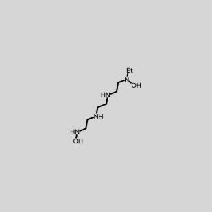 CCN(O)CCNCCNCCNO